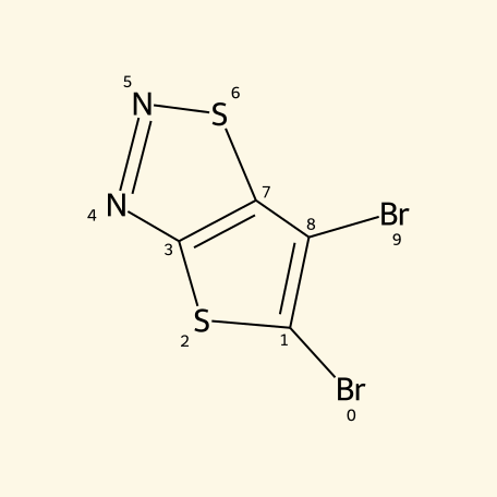 Brc1sc2nnsc2c1Br